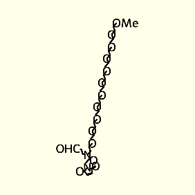 COCCOCCOCCOCCOCCOCCOCCOCCOCCOCCOCCN(CCC=O)C(=O)CN1C(=O)C=CC1=O